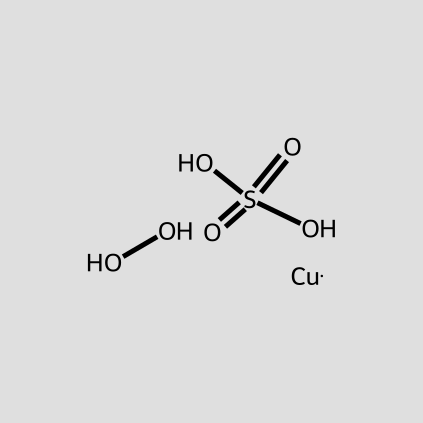 O=S(=O)(O)O.OO.[Cu]